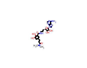 CN(C)C(=O)/C=C/c1cc(O)c(O)c(C(=O)NC/C=C/[C@H]2O[C@@H](n3cnc4c(N)ncnc43)C(O)[C@H]2O)c1